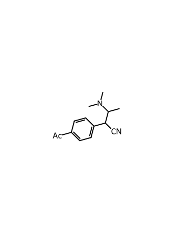 CC(=O)c1ccc(C(C#N)C(C)N(C)C)cc1